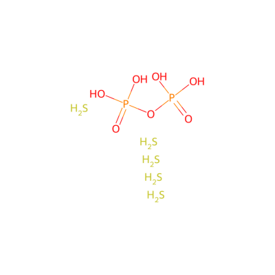 O=P(O)(O)OP(=O)(O)O.S.S.S.S.S